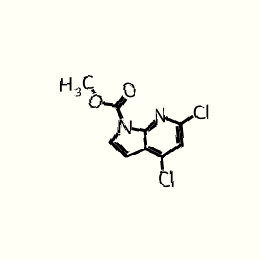 COC(=O)n1ccc2c(Cl)cc(Cl)nc21